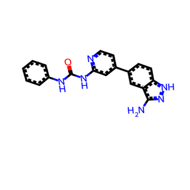 Nc1n[nH]c2ccc(-c3ccnc(NC(=O)Nc4ccccc4)c3)cc12